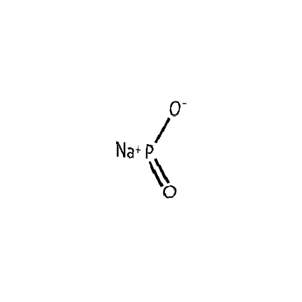 O=P[O-].[Na+]